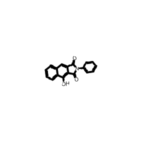 O=C1c2cc3ccccc3c(O)c2C(=O)N1c1ccccc1